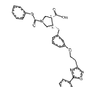 O=C(O)[C@H]1CN(C(=O)Oc2ccccc2)C[C@H]1Cc1cccc(OCCc2noc(-c3ccccc3)n2)c1